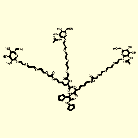 CC(=O)N[C@H]1[C@H](OCCOCCOCCOCC(=O)NCCCCC(NC(=O)C(CCCCNC(=O)COCCOCCOCCO[C@@H]2O[C@H](CO)[C@H](O)[C@H](O)[C@H]2N)NC(=O)COCCOCCOCCO[C@@H]2O[C@H](CO)[C@H](O)[C@H](O)[C@H]2NC(C)=O)C(=O)NC(C(=O)NC2CCCC2)C2CCCC2)O[C@H](CO)[C@H](O)[C@@H]1O